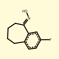 ON=C1CCCCc2ccc(F)cc21